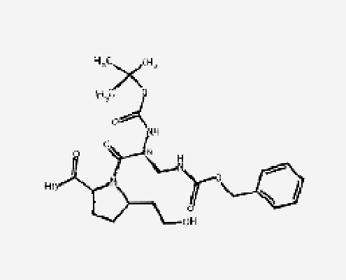 CC(C)(C)OC(=O)N[C@@H](CNC(=O)OCc1ccccc1)C(=O)N1C(CCO)CCC1C(=O)O